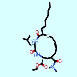 CCCCCCCC1CC/C=C\CC(C(=O)N(C)C)C[C@@H](C(=O)OCC)NC(=O)[C@H](CC(C)C)NC1=O